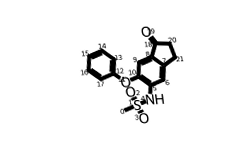 CS(=O)(=O)Nc1cc2c(cc1Oc1ccccc1)C(=O)CC2